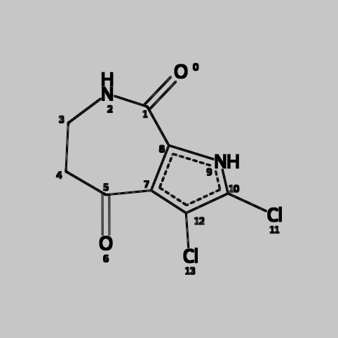 O=C1NCCC(=O)c2c1[nH]c(Cl)c2Cl